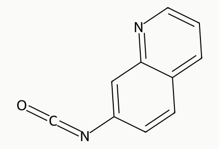 O=C=Nc1ccc2cccnc2c1